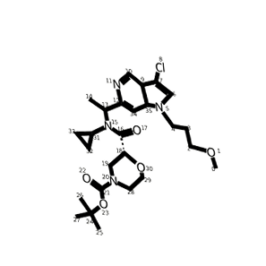 COCCCN1C=C(Cl)C2C=NC(C(C)N(C(=O)[C@H]3CN(C(=O)OC(C)(C)C)CCO3)C3CC3)=CC21